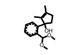 COC(OC)c1ccccc1C1(O)CCC(C)=C1C